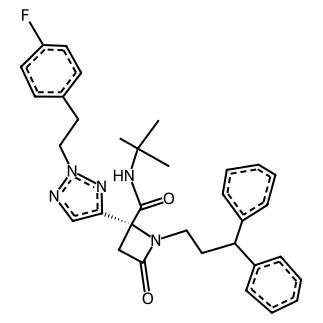 CC(C)(C)NC(=O)[C@]1(c2cnn(CCc3ccc(F)cc3)n2)CC(=O)N1CCC(c1ccccc1)c1ccccc1